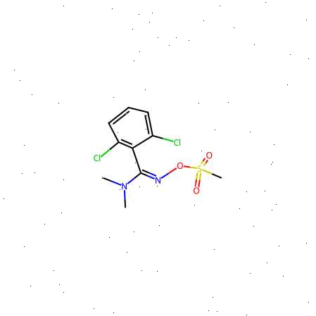 CN(C)/C(=N/OS(C)(=O)=O)c1c(Cl)cccc1Cl